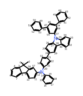 CC1(C)c2ccccc2-c2ccc(N(c3ccccc3)c3ccc(-c4ccc5c(c4)c4ccccc4n5-c4cc(-c5ccccc5)cc(-c5ccccc5)c4)cc3)cc21